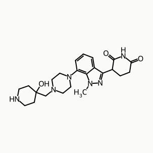 Cn1nc(C2CCC(=O)NC2=O)c2cccc(N3CCN(CC4(O)CCNCC4)CC3)c21